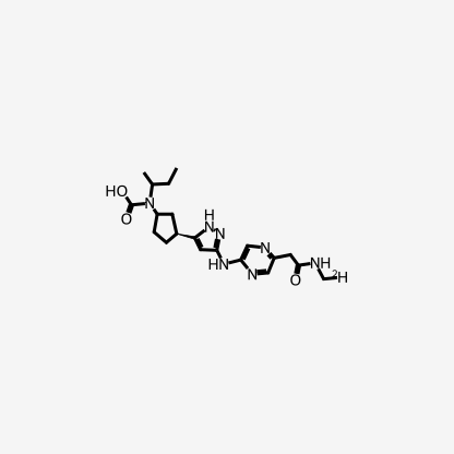 [2H]CNC(=O)Cc1cnc(Nc2cc([C@H]3CCC(N(C(=O)O)C(C)CC)C3)[nH]n2)cn1